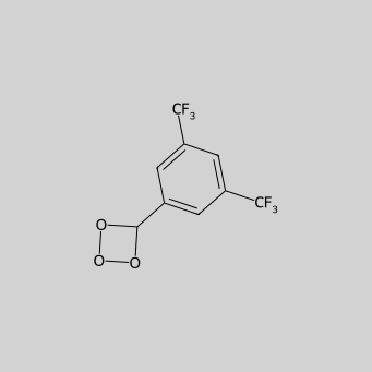 FC(F)(F)c1cc(C2OOO2)cc(C(F)(F)F)c1